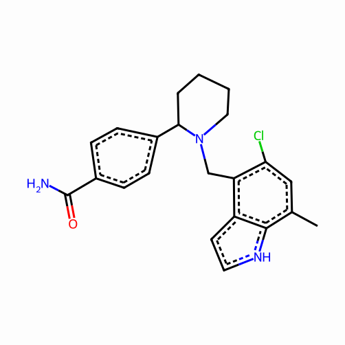 Cc1cc(Cl)c(CN2CCCCC2c2ccc(C(N)=O)cc2)c2cc[nH]c12